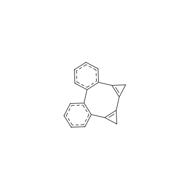 c1ccc2c(c1)C1=C(C1)C1=C(C1)c1ccccc1-2